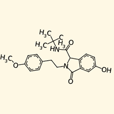 COc1ccc(CCN2C(=O)c3cc(O)ccc3C2C(=O)NC(C)(C)C)cc1